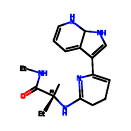 CCNC(=O)[C@@](C)(CC)NC1=NC(C2=CNC3NC=CC=C23)=CCC1